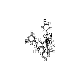 Cc1cc2nc(-c3ccc(F)cc3)oc2cc1-c1n(-c2c(C(C)C)cc(-c3cc(F)cc(F)c3)cc2C(C)C)c2ccccc2[n+]1C